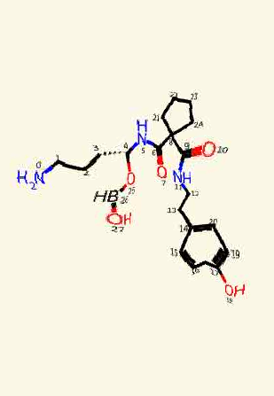 NCCC[C@H](NC(=O)C1(C(=O)NCCc2ccc(O)cc2)CCCC1)OBO